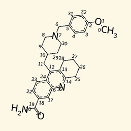 COc1ccc(CN2CCC(Cc3c4c(nc5cc(C(N)=O)ccc35)CCCC4)CC2)cc1